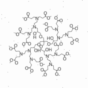 COC(=O)CCN(CCC(=O)OC)CCN(CCN(CCC(=O)OC)CCC(=O)OC)CC(O)COCC(COCC(O)CN(CCN(CCC(=O)OC)CCC(=O)OC)CCN(CCC(=O)OC)CCC(=O)OC)(COCC(O)CN(CCN(CCC(=O)OC)CCC(=O)OC)CCN(CCC(=O)OC)CCC(=O)OC)COCC(O)CN(CCN(CCC(=O)OC)CCC(=O)OC)CCN(CCC(=O)OC)CCC(=O)OC